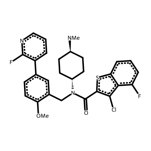 CN[C@H]1CC[C@H](N(Cc2cc(-c3cccnc3F)ccc2OC)C(=O)c2sc3cccc(F)c3c2Cl)CC1